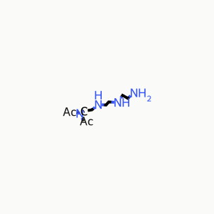 CC(=O)N(CCNCCNCCN)C(C)=O